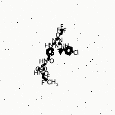 CC(F)(F)CC(=O)NS(=O)(=O)CCNC(=O)c1ccc(Nc2nc(NC3(c4ccc(Cl)cc4)CC3)nc(OCC(F)(F)F)n2)cc1